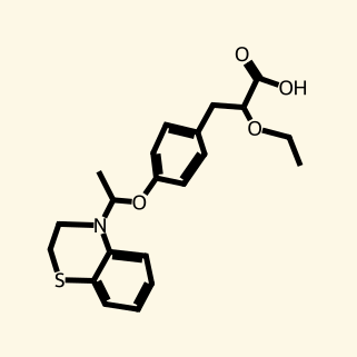 CCOC(Cc1ccc(OC(C)N2CCSc3ccccc32)cc1)C(=O)O